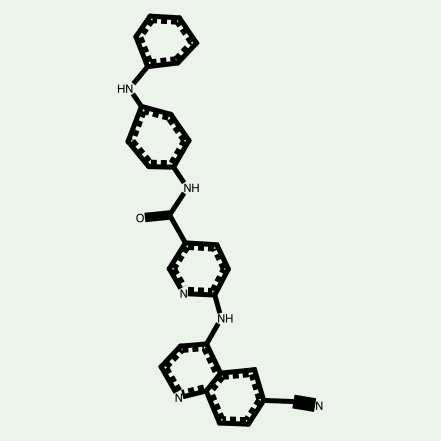 N#Cc1ccc2nccc(Nc3ccc(C(=O)Nc4ccc(Nc5ccccc5)cc4)cn3)c2c1